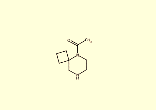 CC(=O)N1CCNCC12CCC2